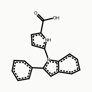 O=C(O)c1ccc(-n2c(-c3ccccc3)cc3ccccc32)[nH]1